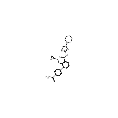 NC(=O)c1ccc(-c2cccc(C(=O)Nc3nnc(N4CCCCC4)s3)c2CCC2CC2)cc1